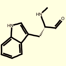 CN[C@H]([C]=O)Cc1c[nH]c2ccccc12